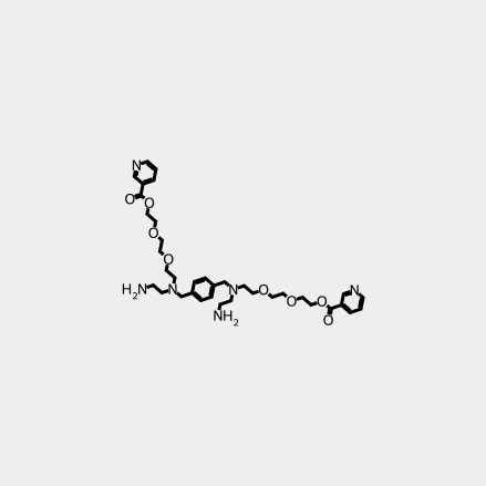 NCCN(CCOCCOCCOC(=O)c1cccnc1)Cc1ccc(CN(CCN)CCOCCOCCOC(=O)c2cccnc2)cc1